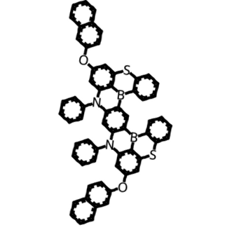 c1ccc(N2c3cc4c(cc3B3c5ccccc5Sc5cc(Oc6ccc7ccccc7c6)cc2c53)B2c3ccccc3Sc3cc(Oc5ccc6ccccc6c5)cc(c32)N4c2ccccc2)cc1